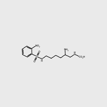 NC(CCCCNS(=O)(=O)c1ccccc1[N+](=O)[O-])CNC(=O)O